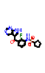 O=C(c1cccc(NS(=O)(=O)C2CCCC2)c1F)c1c[nH]c2ncncc12